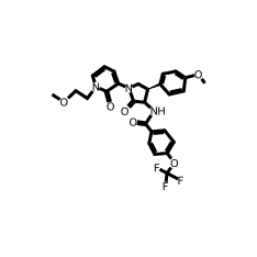 COCCn1cccc(N2C[C@@H](c3ccc(OC)cc3)C(NC(=O)c3ccc(OC(F)(F)F)cc3)C2=O)c1=O